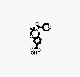 CC1(C)COc2cc(C(=O)NO)ccc2CN1C(=O)C1CCOCC1